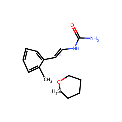 C1CC[SiH2]OC1.Cc1ccccc1/C=C/NC(N)=O